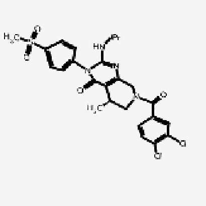 CC(C)Nc1nc2c(c(=O)n1-c1ccc(S(C)(=O)=O)cc1)[C@H](C)CN(C(=O)c1ccc(Cl)c(Cl)c1)C2